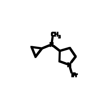 CC(C)N1CCC(N(C)C2CC2)C1